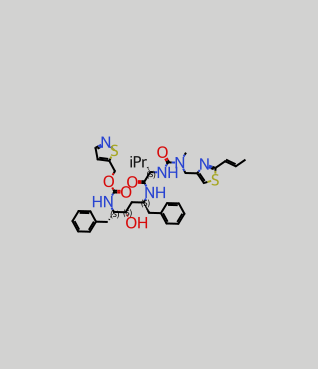 CC=Cc1nc(CN(C)C(=O)N[C@H](C(=O)N[C@@H](Cc2ccccc2)C[C@H](O)[C@H](Cc2ccccc2)NC(=O)OCc2ccns2)C(C)C)cs1